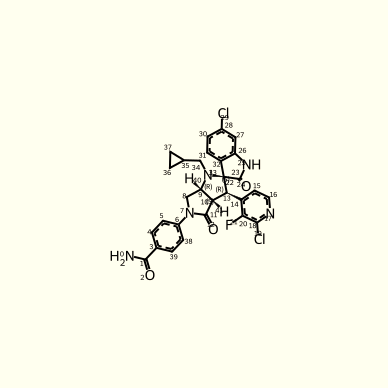 NC(=O)c1ccc(N2C[C@H]3[C@@H](C2=O)[C@H](c2ccnc(Cl)c2F)[C@]2(C(=O)Nc4cc(Cl)ccc42)N3CC2CC2)cc1